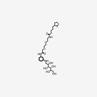 O=C(CCCCC1CCSS1)NCCOCCOCC(=O)Nc1cccc(NCC(O)[C@H](O)[C@H](O)C(O)CO)c1